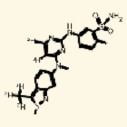 [2H]c1nc(Nc2ccc(C)c(S(N)(=O)=O)c2)nc(N(C)c2ccc3c(C([2H])([2H])[2H])n(C)nc3c2)c1[2H]